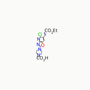 CCOC(=O)/C=C/c1cc2oc(N3CCN(C(=O)O)CC3)nc2nc1Cl